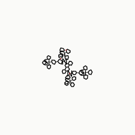 c1ccc([Si](c2ccccc2)(c2ccccc2)c2ccc(-c3ccc(N(c4cccc([Si](c5ccccc5)(c5ccccc5)c5ccccc5)c4)c4cc5c6ccccc6c(N(c6ccc(-c7ccc([Si](c8ccccc8)(c8ccccc8)c8ccccc8)cc7)cc6)c6cccc([Si](c7ccccc7)(c7ccccc7)c7ccccc7)c6)cc5c5ccccc45)cc3)cc2)cc1